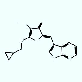 CCOC(=O)C1=C(NCC2CC2)O/C(=C\c2c[nH]c3ncccc23)C1=O